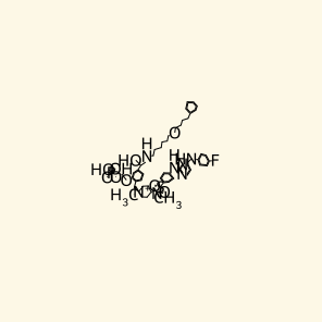 CN(C1CC[N+](C)(Cc2ccc(C(O)CNCCCCCCOCCCCc3ccccc3)cc2OCOP(=O)(O)O)CC1)S(=O)(=O)c1ccc(Nc2nccc(Nc3ccc(F)cc3)n2)cc1